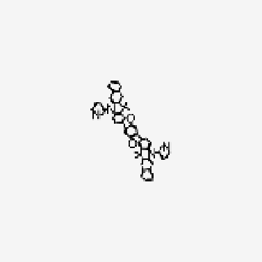 CC1(C)c2cc3ccccc3cc2N(c2cccnc2)c2ccc3c(oc4cc5c(cc43)oc3c4c(ccc35)N(c3cccnc3)c3cc5ccccc5cc3C4(C)C)c21